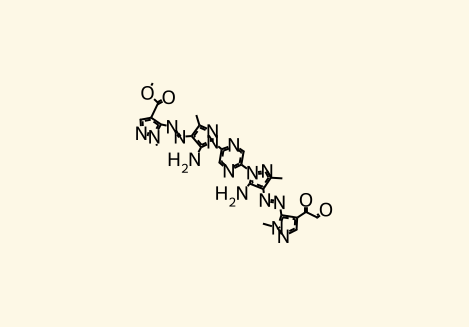 COC(=O)c1cnn(C)c1/N=N/c1c(C)nn(-c2cnc(-n3nc(C)c(/N=N/c4c(C(=O)C=O)cnn4C)c3N)cn2)c1N